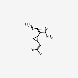 C=C/C=C(/C(N)=O)C1CC1C=C(Br)Br